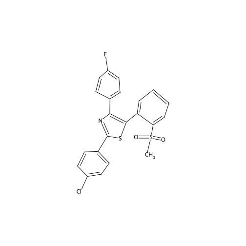 CS(=O)(=O)c1ccccc1-c1sc(-c2ccc(Cl)cc2)nc1-c1ccc(F)cc1